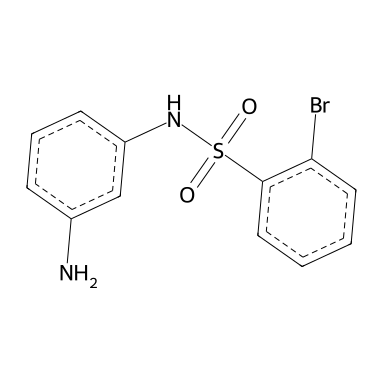 Nc1cccc(NS(=O)(=O)c2ccccc2Br)c1